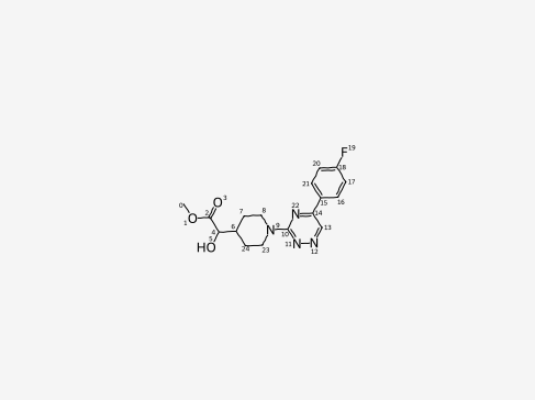 COC(=O)C(O)C1CCN(c2nncc(-c3ccc(F)cc3)n2)CC1